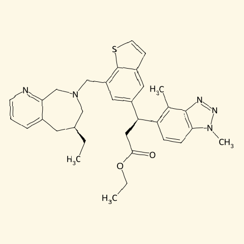 CCOC(=O)C[C@@H](c1cc(CN2Cc3ncccc3C[C@H](CC)C2)c2sccc2c1)c1ccc2c(nnn2C)c1C